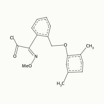 CON=C(C(=O)Cl)c1ccccc1COc1cc(C)ccc1C